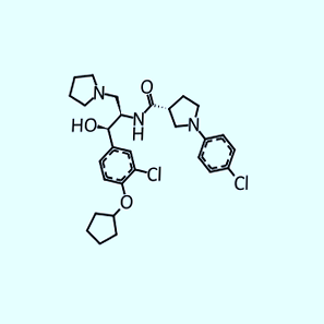 O=C(N[C@H](CN1CCCC1)[C@H](O)c1ccc(OC2CCCC2)c(Cl)c1)[C@@H]1CCN(c2ccc(Cl)cc2)C1